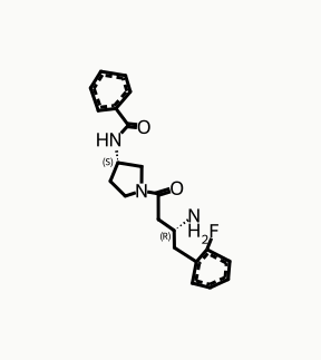 N[C@@H](CC(=O)N1CC[C@H](NC(=O)c2ccccc2)C1)Cc1ccccc1F